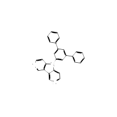 c1ccc(-c2cc(-c3ccccc3)cc(-n3c4ccncc4c4cnccc43)c2)cc1